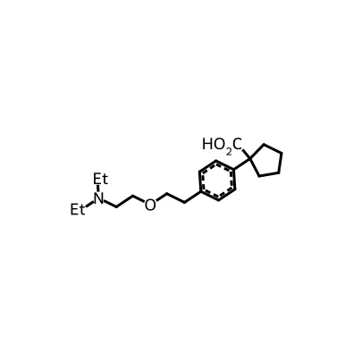 CCN(CC)CCOCCc1ccc(C2(C(=O)O)CCCC2)cc1